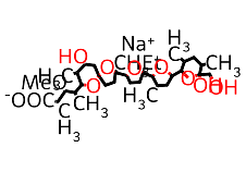 CCC1(C2OC(C3OC(O)(CO)C(C)CC3C)CC2C)CCC(C2(C)CCC3(CC(O)C(C)C(C(C)C(OC)C(C)C(=O)[O-])O3)O2)O1.[Na+]